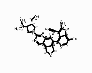 CN(C)[C@@H]1CN(c2ncc3c4c(c(-c5ncc(F)c6sc(N)c(C#N)c56)c(F)c3n2)COC4)C[C@@H]1CO